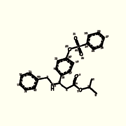 CC(C)OC(=O)CC(NCc1ccccc1)c1ccc(OS(=O)(=O)c2ccccc2)cc1